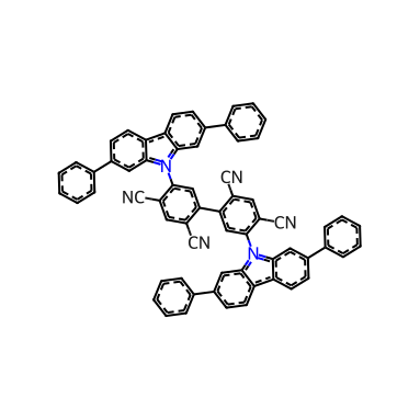 N#Cc1cc(C#N)c(-n2c3cc(-c4ccccc4)ccc3c3ccc(-c4ccccc4)cc32)cc1-c1cc(-n2c3cc(-c4ccccc4)ccc3c3ccc(-c4ccccc4)cc32)c(C#N)cc1C#N